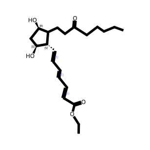 CCCCCC(=O)CCC1[C@H](O)C[C@H](O)[C@H]1/C=C/C=C/C=C/C(=O)OCC